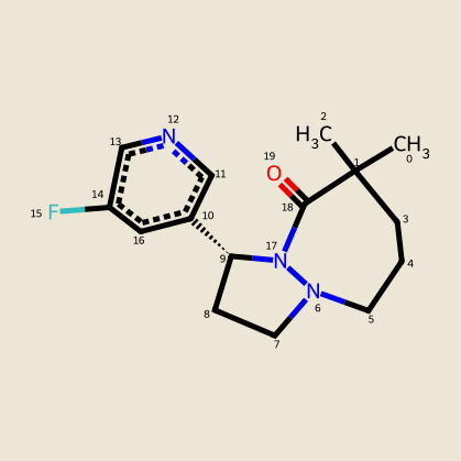 CC1(C)CCCN2CC[C@H](c3cncc(F)c3)N2C1=O